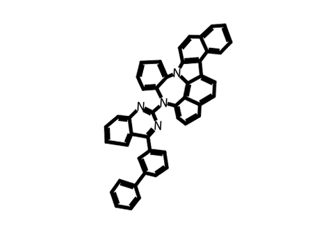 c1ccc(-c2cccc(-c3nc(-n4c5cccc6ccc7c8c9ccccc9ccc8n(c8ccccc84)c7c65)nc4ccccc34)c2)cc1